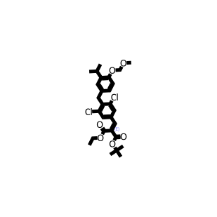 CCOC(=O)/C(=C\c1cc(Cl)c(Cc2ccc(OCOC)c(C(C)C)c2)c(Cl)c1)C(=O)OC(C)(C)C